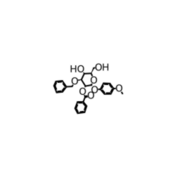 COc1ccc(O[C@@H]2O[C@H](CO)[C@@H](O)[C@H](OCc3ccccc3)[C@H]2OC(=O)c2ccccc2)cc1